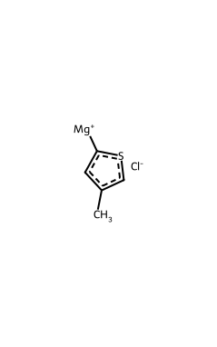 Cc1cs[c]([Mg+])c1.[Cl-]